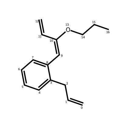 C=CCc1ccccc1/C=C(\C=C)OCCC